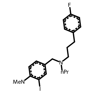 CCCN(CCCc1ccc(F)cc1)Cc1ccc(NC)c(I)c1